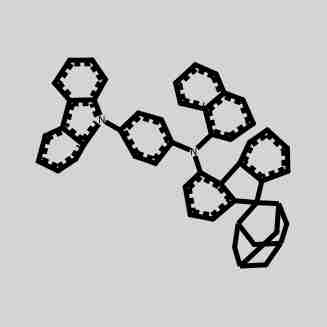 c1ccc2c(c1)-c1c(N(c3ccc(-n4c5ccccc5c5ccccc54)cc3)c3cccc4ccccc34)cccc1C21C2CC3CC(C2)CC1C3